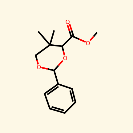 COC(=O)C1OC(c2ccccc2)OCC1(C)C